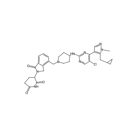 Cn1ncc(-c2nc(NC3CCN(Cc4cccc5c4CN(C4CCC(=O)NC4=O)C5=O)CC3)ncc2Cl)c1CC1CC1